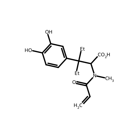 C=CC(=O)N(C)C(C(=O)O)C(CC)(CC)c1ccc(O)c(O)c1